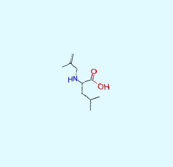 C=C(C)CNC(CC(C)C)C(=O)O